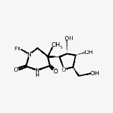 CCN1CC(C)([C@@H]2O[C@H](CO)[C@@H](O)[C@H]2O)C(=O)NC1=O